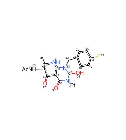 CCN1C(=O)c2c([nH]c(C)c(NC(C)=O)c2=O)N(Cc2ccc(F)cc2)C1O